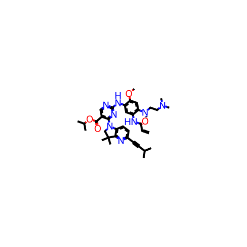 C=CC(=O)Nc1cc(Nc2ncc(C(=O)OC(C)C)c(N3CC(C)(C)c4nc(C#CC(C)C)ccc43)n2)c(OC)cc1N(C)CCN(C)C